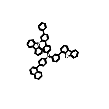 c1ccc(-c2ccc(-c3ccc(N(c4ccc(-c5cccc6ccccc56)cc4)c4cccc(-c5cccc6c5oc5ccccc56)c4)cc3)c(-n3c4ccccc4c4ccccc43)c2)cc1